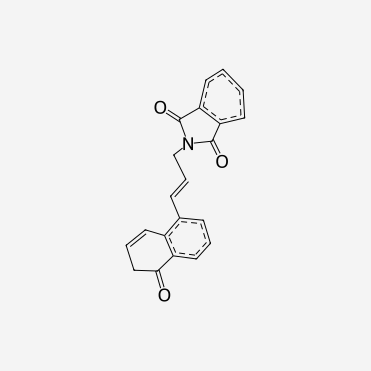 O=C1CC=Cc2c(C=CCN3C(=O)c4ccccc4C3=O)cccc21